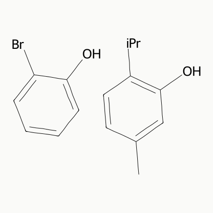 Cc1ccc(C(C)C)c(O)c1.Oc1ccccc1Br